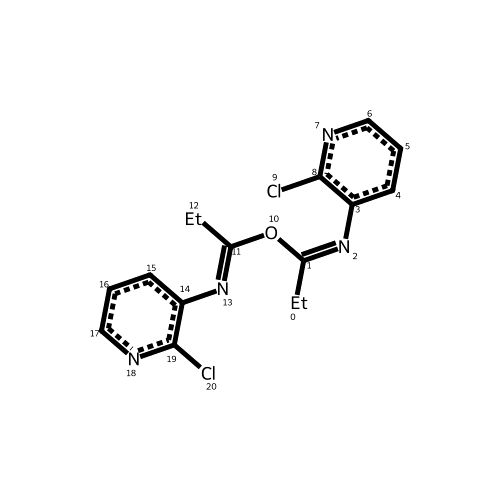 CCC(=Nc1cccnc1Cl)OC(CC)=Nc1cccnc1Cl